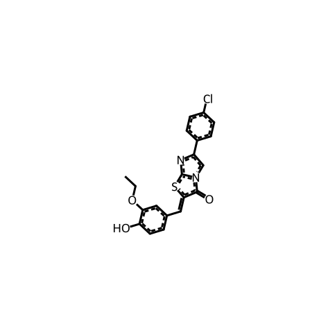 CCOc1cc(/C=c2\sc3nc(-c4ccc(Cl)cc4)cn3c2=O)ccc1O